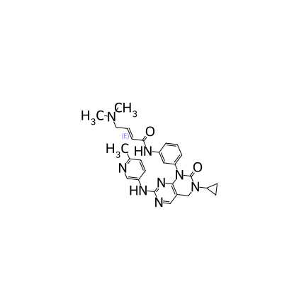 Cc1ccc(Nc2ncc3c(n2)N(c2cccc(NC(=O)/C=C/CN(C)C)c2)C(=O)N(C2CC2)C3)cn1